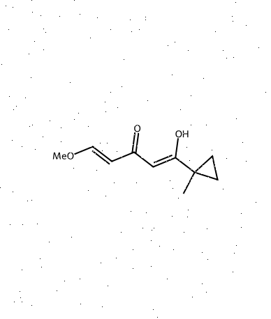 CO/C=C/C(=O)/C=C(\O)C1(C)CC1